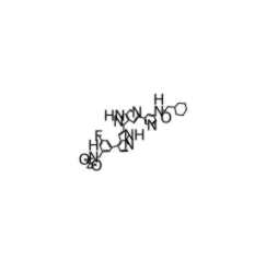 CS(=O)(=O)NCc1cc(F)cc(-c2ccnc3[nH]c(-c4n[nH]c5cnc(-c6cncc(NC(=O)CC7CCCCC7)c6)cc45)cc23)c1